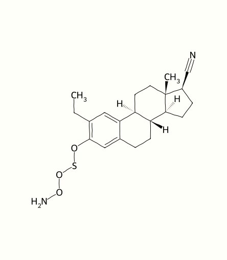 CCc1cc2c(cc1OSOON)CC[C@@H]1[C@@H]2CC[C@]2(C)[C@@H](C#N)CC[C@@H]12